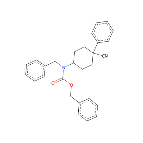 N#CC1(c2ccccc2)CCC(N(Cc2ccccc2)C(=O)OCc2ccccc2)CC1